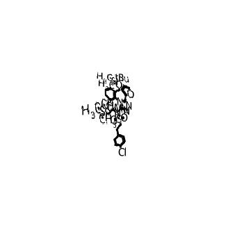 CO[C@H]1CC=CC(CO[Si](C)(C)C(C)(C)C)=C1n1c(-c2ccco2)nnc1N(CC[Si](C)(C)C)S(=O)(=O)CCc1ccc(Cl)cc1